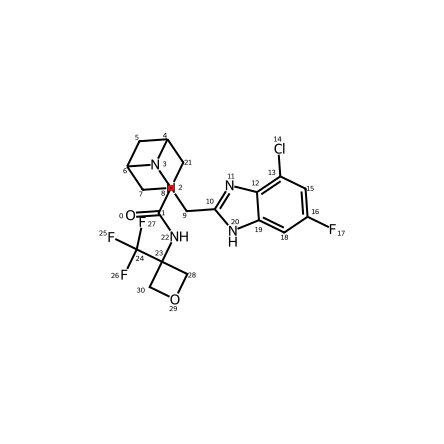 O=C(CN1C2CC1CN(Cc1nc3c(Cl)cc(F)cc3[nH]1)C2)NC1(C(F)(F)F)COC1